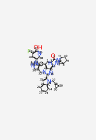 COc1cc(C(=O)N2CC3CCC2C3N)cc2nc(-c3cc4ccccc4n3CC3CC3)n(Cc3cnn(-c4cnc(O)c(F)c4)c3)c12